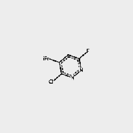 CC(C)c1cc(F)nnc1Cl